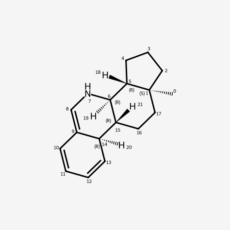 C[C@@]12CCC[C@H]1[C@@H]1NC=C3C=CC=C[C@@H]3[C@H]1CC2